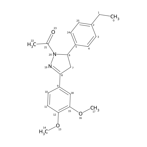 CCc1ccc(C2CC(c3ccc(OC)c(OC)c3)=NN2C(C)=O)cc1